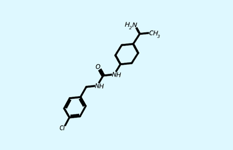 CC(N)C1CCC(NC(=O)NCc2ccc(Cl)cc2)CC1